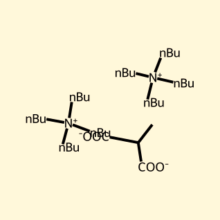 CC(C(=O)[O-])C(=O)[O-].CCCC[N+](CCCC)(CCCC)CCCC.CCCC[N+](CCCC)(CCCC)CCCC